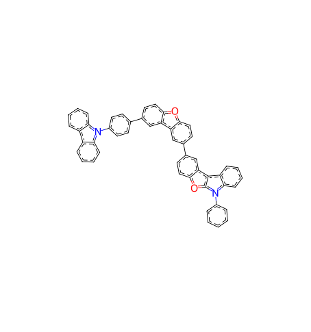 c1ccc(-n2c3ccccc3c3c4cc(-c5ccc6oc7ccc(-c8ccc(-n9c%10ccccc%10c%10ccccc%109)cc8)cc7c6c5)ccc4oc32)cc1